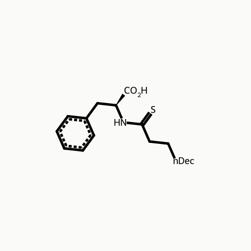 CCCCCCCCCCCCC(=S)N[C@@H](Cc1ccccc1)C(=O)O